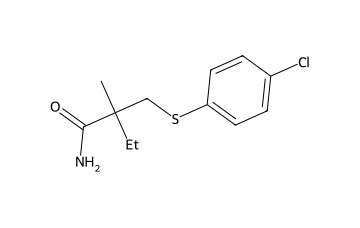 CCC(C)(CSc1ccc(Cl)cc1)C(N)=O